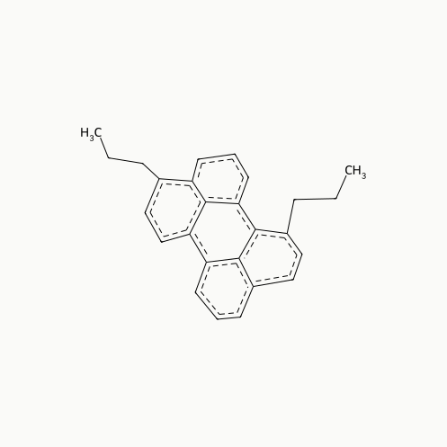 CCCc1ccc2c3cccc4ccc(CCC)c(c5cccc1c25)c43